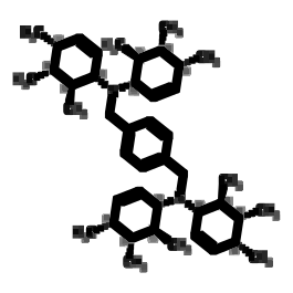 C[C@H]1[C@H](C)[C@@H](N(Cc2ccc(CN([C@H]3C=C[C@@H](C)[C@@H](C)[C@@H]3C)[C@H]3C=C[C@@H](C)[C@@H](C)[C@@H]3C)cc2)[C@H]2C=C[C@@H](C)[C@@H](C)[C@@H]2C)C=C[C@H]1C